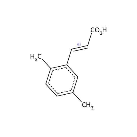 Cc1ccc(C)c(/C=C/C(=O)O)c1